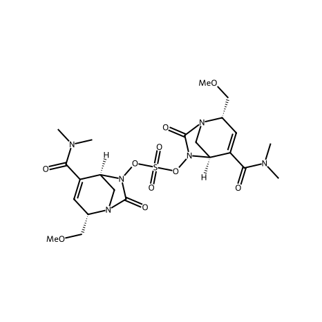 COC[C@@H]1C=C(C(=O)N(C)C)[C@@H]2CN1C(=O)N2OS(=O)(=O)ON1C(=O)N2C[C@H]1C(C(=O)N(C)C)=C[C@H]2COC